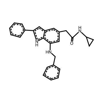 O=C(Cc1cc(NCc2ccccc2)c2[nH]c(-c3ccccc3)cc2c1)NC1CC1